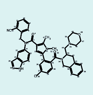 Cc1c(C(=O)N(Cc2ccccc2C#N)c2ccc3[nH]ncc3c2)cc(-c2cc(Cl)ccc2C(=O)N2Cc3ccccc3CC2CN2CCOCC2)n1C